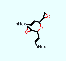 CCCCCCC=CC(OC(C=CCCCCCC)C1CO1)C1CO1